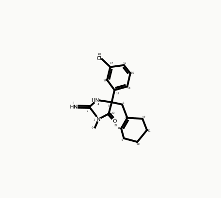 CN1C(=N)NC(CC2=CCCCC2)(c2cccc(Cl)c2)C1=O